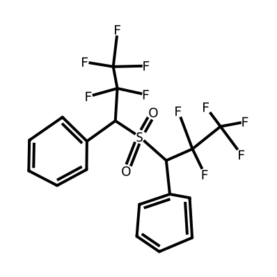 O=S(=O)(C(c1ccccc1)C(F)(F)C(F)(F)F)C(c1ccccc1)C(F)(F)C(F)(F)F